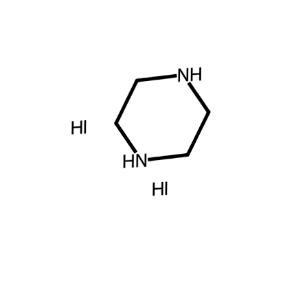 C1CNCCN1.I.I